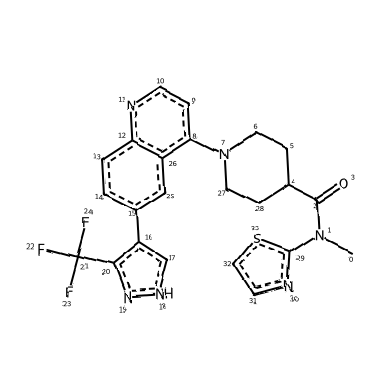 CN(C(=O)C1CCN(c2ccnc3ccc(-c4c[nH]nc4C(F)(F)F)cc23)CC1)c1nccs1